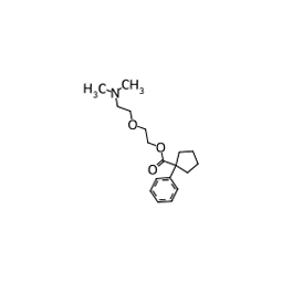 CN(C)CCOCCOC(=O)C1(c2ccccc2)CCCC1